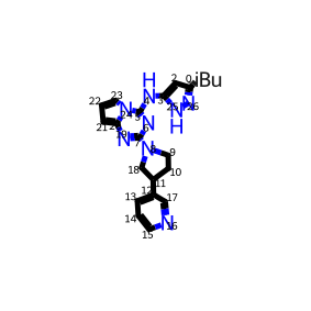 CCC(C)c1cc(Nc2nc(N3CCC(c4cccnc4)C3)nc3cccn23)[nH]n1